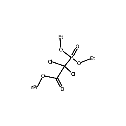 CCCOC(=O)C(Cl)(Cl)P(=O)(OCC)OCC